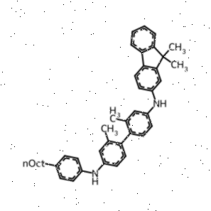 CCCCCCCCc1ccc(Nc2ccc(-c3ccc(Nc4ccc5c(c4)C(C)(C)c4ccccc4-5)cc3C)c(C)c2)cc1